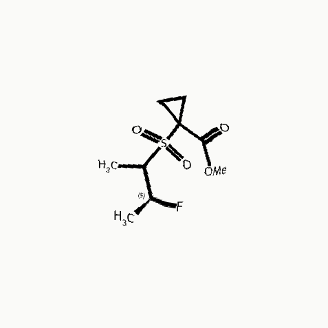 COC(=O)C1(S(=O)(=O)C(C)[C@H](C)F)CC1